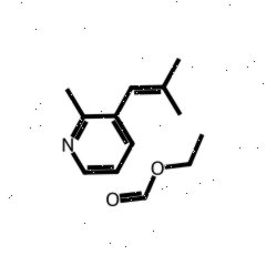 CC(C)=Cc1cccnc1C.CCOC=O